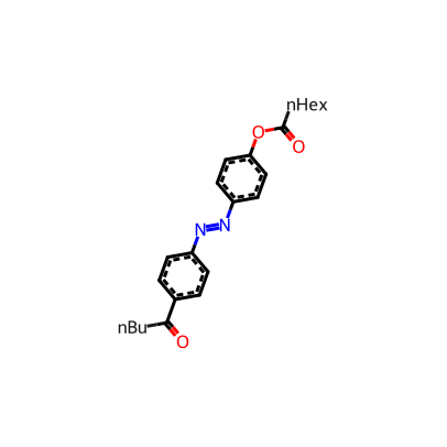 CCCCCCC(=O)Oc1ccc(N=Nc2ccc(C(=O)CCCC)cc2)cc1